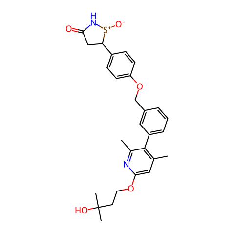 Cc1cc(OCCC(C)(C)O)nc(C)c1-c1cccc(COc2ccc(C3CC(=O)N[S+]3[O-])cc2)c1